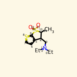 CCN(CC)CC1c2ccsc2S(=O)(=O)C1C